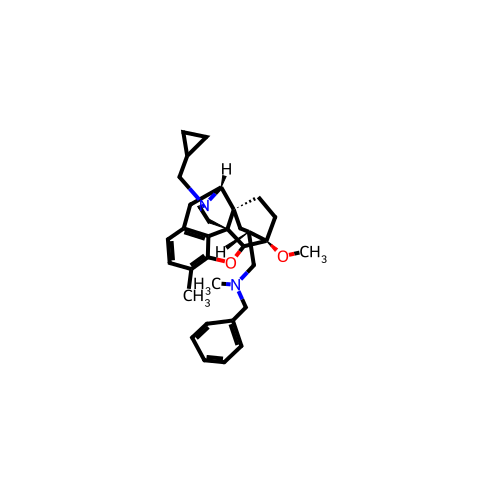 CO[C@]12CC[C@@]3(C[C@H]1CN(C)Cc1ccccc1)[C@H]1Cc4ccc(C)c5c4[C@@]3(CCN1CC1CC1)C2O5